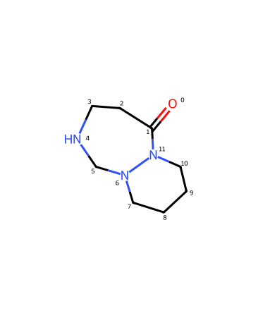 O=C1CCNCN2CCCCN12